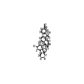 Cc1cc2c(oc3ccccc32)c(-c2c3ccc4c(c3cc[n+]2C)C(C)(C)c2cc(F)ccc2-4)c1C